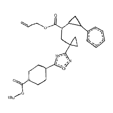 C=CCOC(=O)N(CC1(c2noc(C3CCN(C(=O)OC(C)(C)C)CC3)n2)CC1)C1CC1c1ccccc1